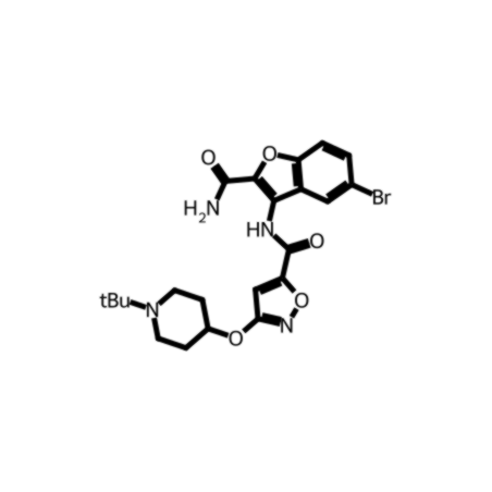 CC(C)(C)N1CCC(Oc2cc(C(=O)Nc3c(C(N)=O)oc4ccc(Br)cc34)on2)CC1